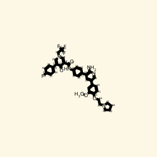 COc1cc(-c2cnc(N)c(-c3ccc(NC(=O)c4cn(CC(F)(F)F)cc(-c5ccc(F)cc5)c4=O)cc3)c2)ccc1OCCN1CCCC1